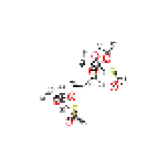 CC(=O)SC[Si](OC(C)C)(OC(C)C)OC(C)C.CCO[Si](C)(CSC(C)=O)OCC